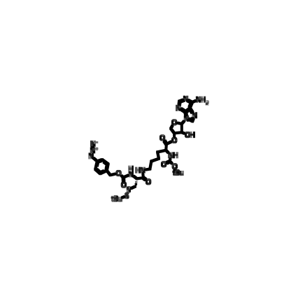 CC(C)(C)OC(=O)NC(CCCCNC(=O)[C@H](CSSC(C)(C)C)NC(=O)OCc1ccc(N=[N+]=[N-])cc1)C(=O)OC1COC(n2cnc3c(N)ncnc32)C1O